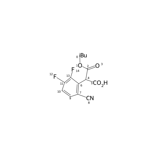 CCC(C)OC(=O)C(C(=O)O)c1c(C#N)ccc(F)c1F